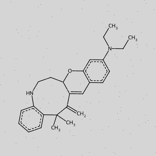 C=C1C2=Cc3ccc(N(CC)CC)cc3OC2CCNc2ccccc2C1(C)C